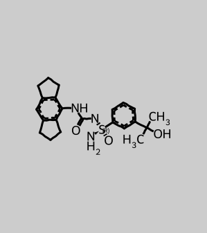 CC(C)(O)c1cccc([S@](N)(=O)=NC(=O)Nc2c3c(cc4c2CCC4)CCC3)c1